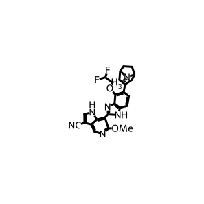 COc1ncc2c(C#N)c[nH]c2c1-c1nc2c(OCC(F)F)c(C3CC4CCC(C3)N4C)ccc2[nH]1